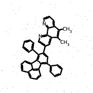 Cc1c(C)c2cc(-c3cc(-c4ccccc4)c4c(c3-c3ccccc3)-c3cccc5cccc-4c35)cnc2c2ncccc12